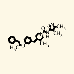 Cc1noc(NC(=O)N2CCC(=Cc3cccc(OC(C)Cc4ccccc4)c3)C(C)C2)c1C